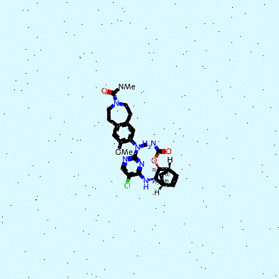 CNC(=O)N1CCc2cc(OC)c(N(C)c3ncc(Cl)c(N[C@H]4[C@@H](OC(N)=O)[C@@H]5C=C[C@H]4C5)n3)cc2CC1